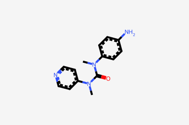 CN(C(=O)N(C)c1ccc(N)cc1)c1ccncc1